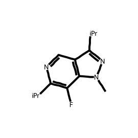 CC(C)c1ncc2c(C(C)C)nn(C)c2c1F